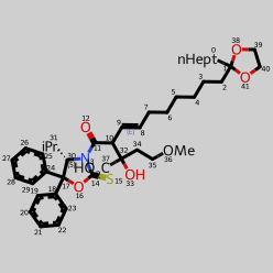 CCCCCCCC1(CCCCCC/C=C/C(C(=O)N2C(=S)OC(c3ccccc3)(c3ccccc3)[C@@H]2C(C)C)C(O)(CCOC)C(=O)O)OCCO1